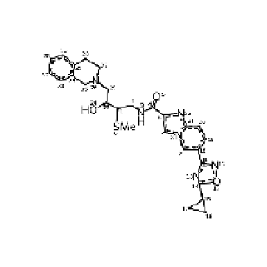 CSC(CNC(=O)c1cn2cc(-c3noc(C4CC4)n3)ccc2n1)C(O)CN1CCc2ccccc2C1